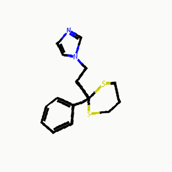 c1ccc(C2(CCn3ccnc3)SCCCS2)cc1